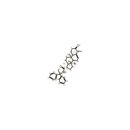 CN1C(=O)CC[C@@]2(C)C1=CC[C@H]1[C@@H]3CC[C@H](C(=O)NC(C)(c4ccccc4)c4ccccc4)[C@@]3(C)CC[C@@H]12